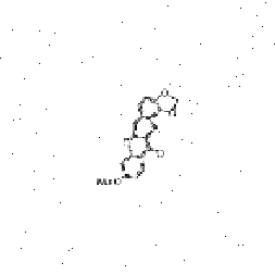 COc1ccc2c(=O)c3cc4c5c(ccc4cc3oc2c1)OCO5